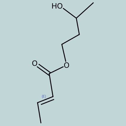 C/C=C/C(=O)OCCC(C)O